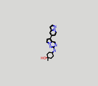 CC1(O)CCC(=Nc2ncc3c(-c4ccn5nccc5c4)ccn3n2)CC1